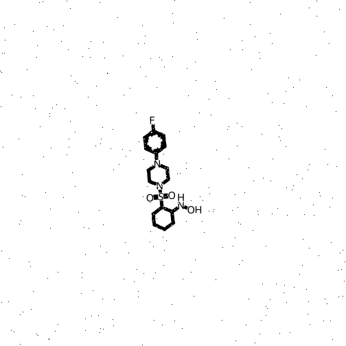 O=S(=O)(C1CCCCC1NO)N1CCN(c2ccc(F)cc2)CC1